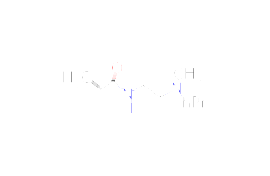 C=CC(=O)NCCN(C)CCC